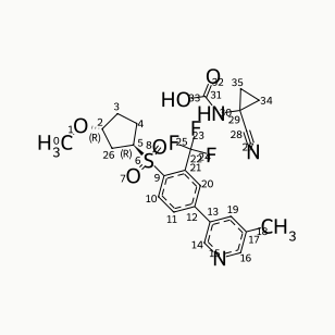 CO[C@@H]1CC[C@@H](S(=O)(=O)c2ccc(-c3cncc(C)c3)cc2C(F)(F)F)C1.N#CC1(NC(=O)O)CC1